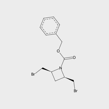 O=C(OCc1ccccc1)N1[C@H](CBr)C[C@@H]1CBr